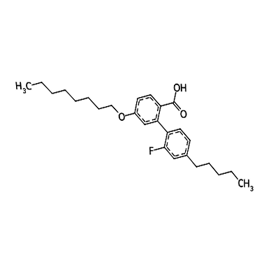 CCCCCCCCOc1ccc(C(=O)O)c(-c2ccc(CCCCC)cc2F)c1